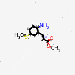 COC(=O)/C=C/c1cc(SC)ccc1N